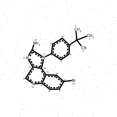 CC(C)(C#N)c1ccc(-n2c(N)nc3cnc4ccc(Br)cc4c32)cc1